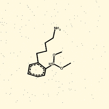 CO[SiH](OC)c1ccccc1CCCCN